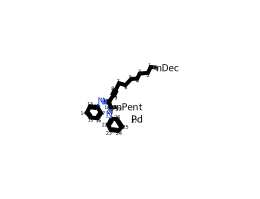 CCCCCCCCCCCCCCCCCC#CC(=Nc1ccccc1)C(CCCCC)=Nc1ccccc1.[Pd]